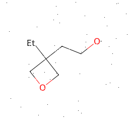 CCC1(CC[O])COC1